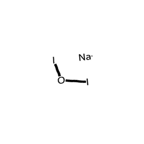 IOI.[Na]